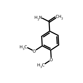 C=C(N)c1ccc(OC)c(OC)c1